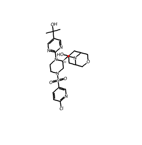 CC(C)(O)c1cnc(N2CCN(S(=O)(=O)c3ccc(Cl)nc3)C[C@@H]2CN2C3COCC2CC(O)C3)nc1